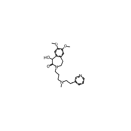 COc1cc2c(cc1OC)C(O)C(=O)N(CCCN(C)CCc1cccnc1)CC2